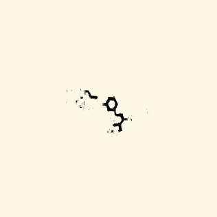 CCOC(=O)Nc1cc(-c2cccc(OCC(CNC)O[Si](C)(C)C(C)(C)C)c2)nc2c1cnn2C(C)C